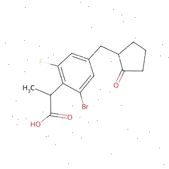 CC(C(=O)O)c1c(F)cc(CC2CCCC2=O)cc1Br